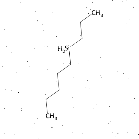 CCCCC[SiH2]CCC